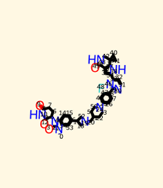 Cn1c(=O)n(C2CCC(=O)NC2=O)c2ccc(C3CN(CC4CCN(c5ccc(-c6nccc(-c7cc8c([nH]7)C7(CC7)CNC8=O)n6)c(F)c5)CC4)C3)cc21